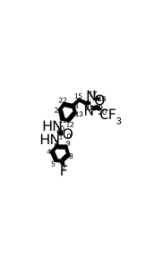 O=C(Nc1ccc(F)cc1)Nc1ccc(Cc2noc(C(F)(F)F)n2)cc1